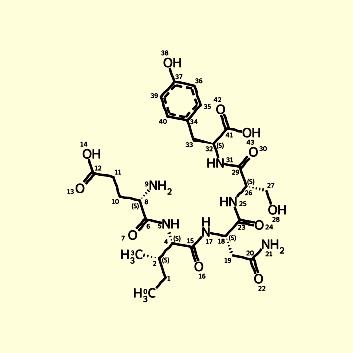 CC[C@H](C)[C@H](NC(=O)[C@@H](N)CCC(=O)O)C(=O)N[C@@H](CC(N)=O)C(=O)N[C@@H](CO)C(=O)N[C@@H](Cc1ccc(O)cc1)C(=O)O